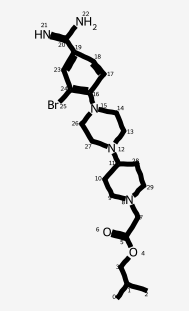 CC(C)COC(=O)CN1CCC(N2CCN(c3ccc(C(=N)N)cc3Br)CC2)CC1